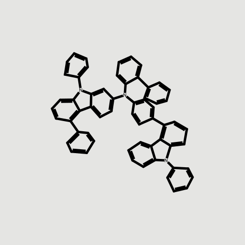 c1ccc(-c2ccccc2N(c2ccc(-c3cccc4c3c3ccccc3n4-c3ccccc3)cc2)c2ccc3c4c(-c5ccccc5)cccc4n(-c4ccccc4)c3c2)cc1